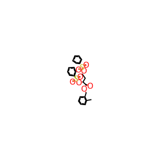 Cc1ccccc1COC(=O)C(CCOS(=O)(=O)c1ccccc1)OS(=O)(=O)c1ccccc1